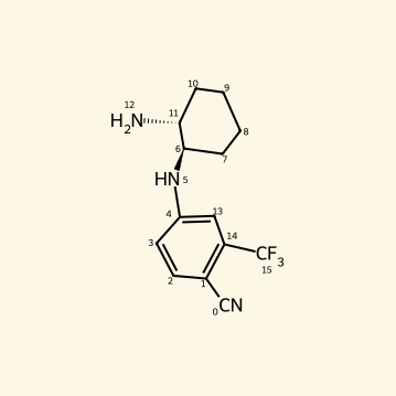 N#Cc1ccc(N[C@@H]2CCCC[C@H]2N)cc1C(F)(F)F